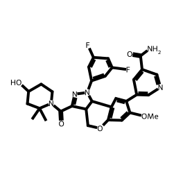 COc1cc2c(cc1-c1cncc(C(N)=O)c1)C1C(CO2)C(C(=O)N2CCC(O)CC2(C)C)=NN1c1cc(F)cc(F)c1